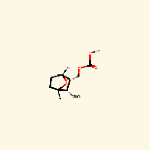 CC(C)OC(=O)OC[C@@H]1[C@H](C=O)[C@@H]2CC[C@H]1O2